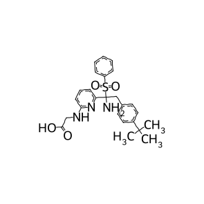 CC(C)(C)c1ccc(CC(N)(c2cccc(NCC(=O)O)n2)S(=O)(=O)c2ccccc2)cc1